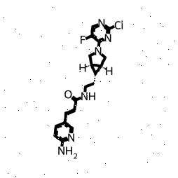 Nc1ccc(/C=C/C(=O)NCC[C@@H]2[C@H]3CN(c4nc(Cl)ncc4F)C[C@@H]23)cn1